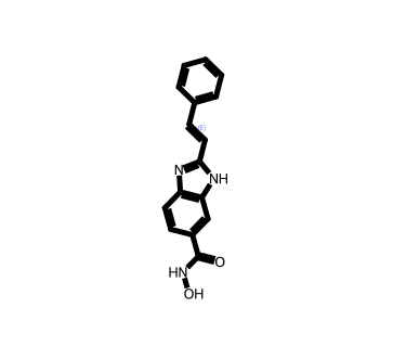 O=C(NO)c1ccc2nc(/C=C/c3ccccc3)[nH]c2c1